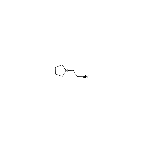 CCCCCN1C[C]CC1